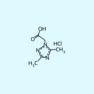 Cc1nc(C)n(CC(=O)O)n1.Cl